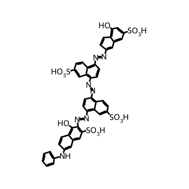 O=S(=O)(O)c1cc(O)c2ccc(N=Nc3ccc(N=Nc4ccc(N=Nc5c(S(=O)(=O)O)cc6cc(Nc7ccccc7)ccc6c5O)c5cc(S(=O)(=O)O)ccc45)c4cc(S(=O)(=O)O)ccc34)cc2c1